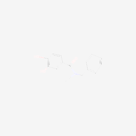 CN(Cc1ccccc1)C(=O)c1ccc(O)c(O)c1